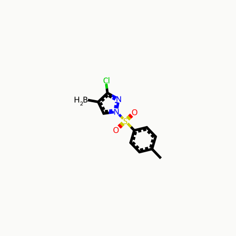 Bc1cn(S(=O)(=O)c2ccc(C)cc2)nc1Cl